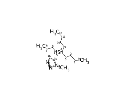 CCC[CH2][SnH]([CH2]CCC)[CH2]CCC.Cn1ccnn1